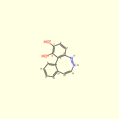 Oc1ccc2c(c1O)-c1ccccc1C=CN=N2